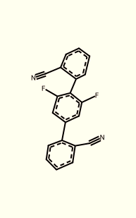 N#Cc1ccccc1-c1cc(F)c(-c2ccccc2C#N)c(F)c1